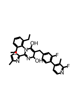 CCc1cccc(CC)c1N1C(c2nc(C)cs2)=NC(O)C(Cc2ccc(-c3ccnc(F)c3C)c(F)c2)=C1O